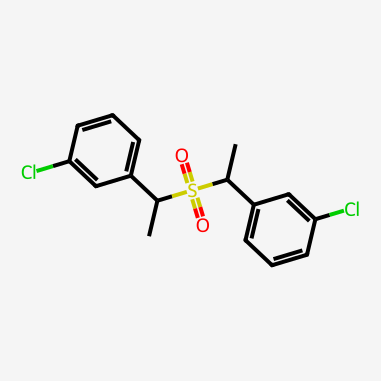 CC(c1cccc(Cl)c1)S(=O)(=O)C(C)c1cccc(Cl)c1